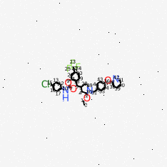 CCOC1CC(C(OC(=O)Nc2ccc(Cl)cc2)c2ccc(C(F)(F)F)cc2)CCN1Cc1ccc(Oc2ccccn2)cc1